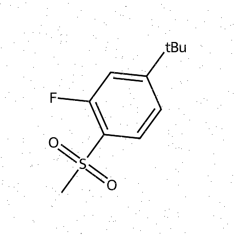 CC(C)(C)c1ccc(S(C)(=O)=O)c(F)c1